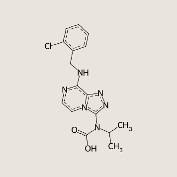 CC(C)N(C(=O)O)c1nnc2c(NCc3ccccc3Cl)nccn12